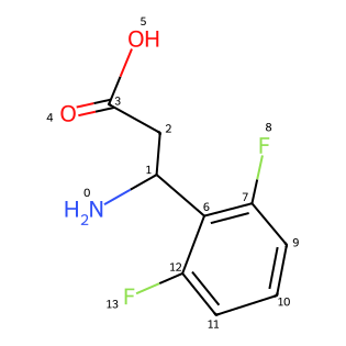 NC(CC(=O)O)c1c(F)cccc1F